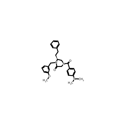 COc1cccc(CN2C(=O)CN(C(=O)c3ccc(N(C)C)cc3)C[C@@H]2CCc2ccccc2)c1